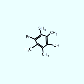 Cc1c(C)c(Br)c([SiH3])c(C)c1O